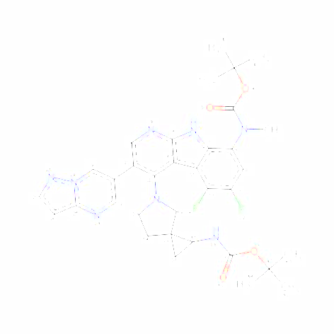 CN(C(=O)OC(C)(C)C)c1cc(F)c(F)c2c1[nH]c1ncc(-c3cnc4ccnn4c3)c(N3CCC4(CC4NC(=O)OC(C)(C)C)C3)c12